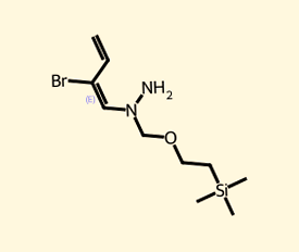 C=C/C(Br)=C\N(N)COCC[Si](C)(C)C